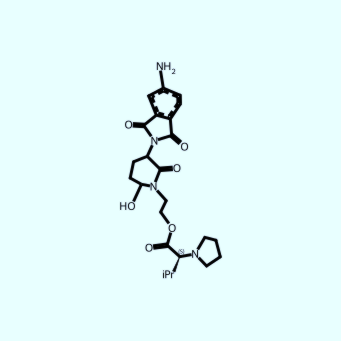 CC(C)[C@@H](C(=O)OCCN1C(=O)C(N2C(=O)c3ccc(N)cc3C2=O)CCC1O)N1CCCC1